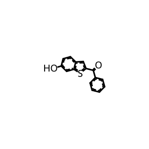 O=C(c1ccccc1)c1cc2ccc(O)cc2s1